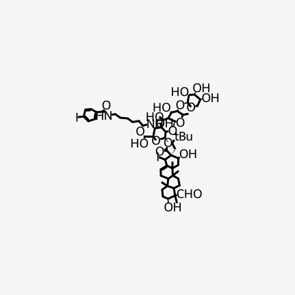 CC1O[C@@H](OC2C(O)[C@@H](NC(=O)CCCCCNC(=O)c3ccc(I)cc3)C(CO)O[C@H]2OC(=O)[C@@]2(CCC(C)(C)C)C(O)CC3(C)C(=CCC4C5(C)CC[C@H](O)C(C)(C=O)C5CCC43C)C2I)C(CO)C(O)[C@H]1O[C@@H]1OC[C@@H](O)[C@@H](O)C1O